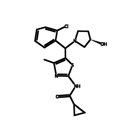 Cc1nc(NC(=O)C2CC2)sc1C(c1ccccc1Cl)N1CC[C@H](O)C1